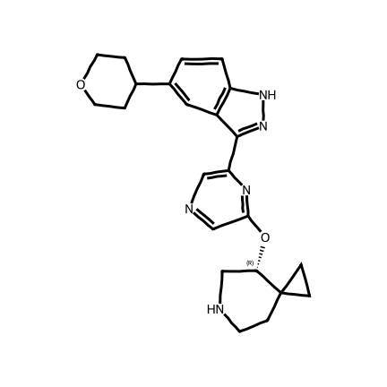 c1cc2[nH]nc(-c3cncc(O[C@H]4CNCCC45CC5)n3)c2cc1C1CCOCC1